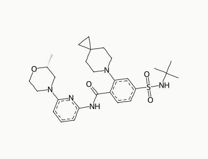 C[C@@H]1CN(c2cccc(NC(=O)c3ccc(S(=O)(=O)NC(C)(C)C)cc3N3CCC4(CC3)CC4)n2)CCO1